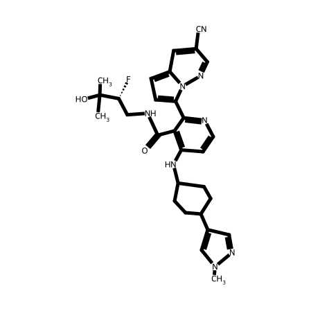 Cn1cc(C2CCC(Nc3ccnc(-c4ccc5cc(C#N)cnn45)c3C(=O)NC[C@@H](F)C(C)(C)O)CC2)cn1